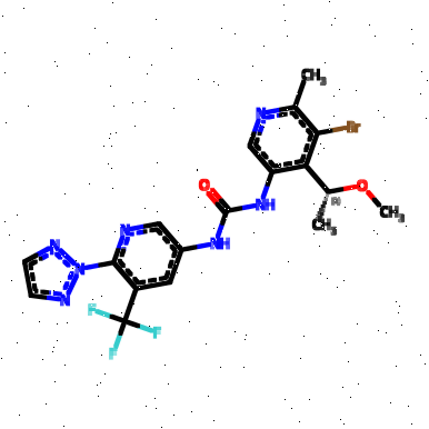 CO[C@H](C)c1c(NC(=O)Nc2cnc(-n3nccn3)c(C(F)(F)F)c2)cnc(C)c1Br